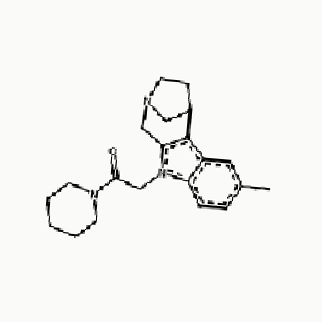 Cc1ccc2c(c1)c1c(n2CC(=O)N2CCCCC2)CN2CCC1C2